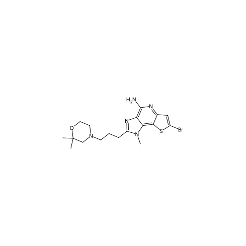 Cn1c(CCCN2CCOC(C)(C)C2)nc2c(N)nc3cc(Br)sc3c21